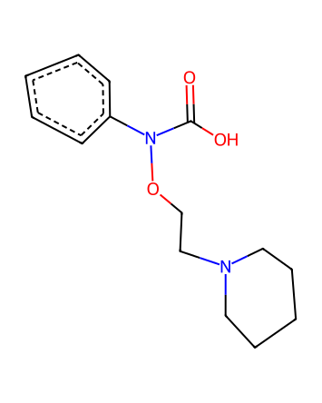 O=C(O)N(OCCN1CCCCC1)c1ccccc1